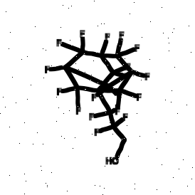 OCC(F)(F)C(F)(F)C12C(F)(F)C3(F)C(F)(F)C(F)(C(F)(F)C(F)(C3(F)F)C1(F)F)C2(F)F